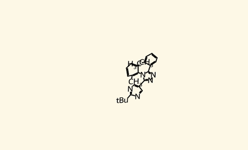 Cc1ccccc1-c1nnc(-c2cnc(C(C)(C)C)nc2)n1-c1c(C)cccc1C